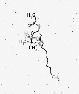 CCCCCCCCCCC[C@@H](CC(=O)OC)O[Si](C)(C)C(C)(C)C